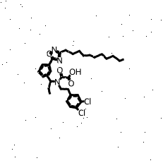 CCCCCCCCCCCc1noc(-c2cccc(C(CC)N(CCc3ccc(Cl)c(Cl)c3)C(=O)C(=O)O)c2)n1